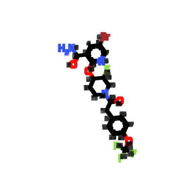 NC(=O)c1cc(Br)cnc1O[C@@H]1CCN(C(=O)Cc2ccc(OC(F)(F)F)cc2)C[C@@H]1F